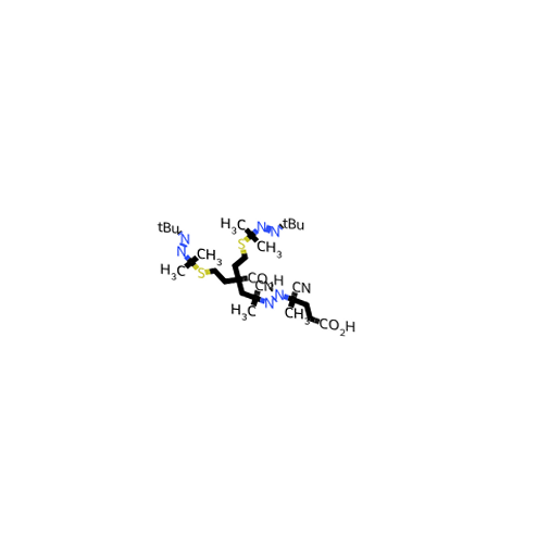 CC(C)(C)N=NC(C)(C)SCCC(CCSC(C)(C)N=NC(C)(C)C)(CC(C)(C#N)N=NC(C)(C#N)CCC(=O)O)C(=O)O